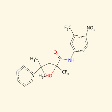 CC(C)(CC(O)(C(=O)Nc1ccc([N+](=O)[O-])c(C(F)(F)F)c1)C(F)(F)F)c1ccccc1